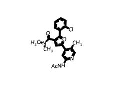 CC(=O)Nc1cc(-c2cc(C(=O)N(C)C)c(-c3ccccc3Cl)o2)c(C)cn1